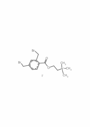 C[N+](C)(C)CCOC(=O)c1ccc(CBr)cc1CBr.[I-]